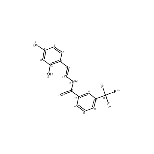 O=C(NN=Cc1ccc(Br)cc1O)c1cccc(C(F)(F)F)c1